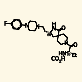 CC[C@H](NC(=O)O)C(=O)N1CCC2(CC1)C[C@H](CCN1CCN(c3ccc(F)cc3)CC1)NC2=O